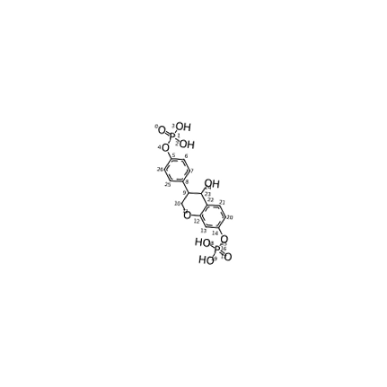 O=P(O)(O)Oc1ccc(C2COc3cc(OP(=O)(O)O)ccc3C2O)cc1